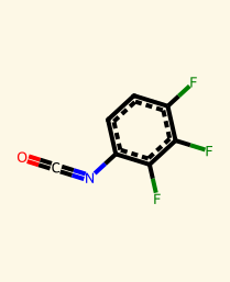 O=C=Nc1ccc(F)c(F)c1F